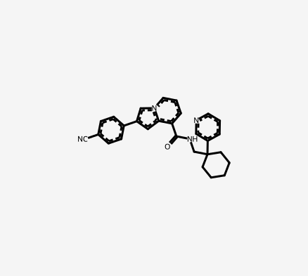 N#Cc1ccc(-c2cc3c(C(=O)NCC4(c5cccnc5)CCCCC4)cccn3c2)cc1